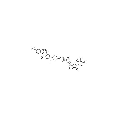 CCc1cc2c(cc1N1CCC(N3CCN(C(=O)COc4cccc5c4CN(C4CCC(=O)NC4=O)C5=O)CC3)CC1)C(C)(C)c1[nH]c3cc(C#N)ccc3c1C2=O